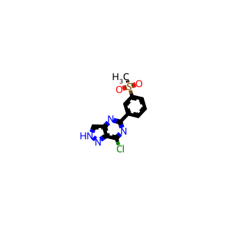 CS(=O)(=O)c1cccc(-c2nc(Cl)c3n[nH]cc3n2)c1